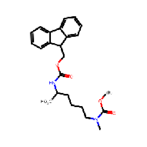 CN(CCCCC(NC(=O)OCC1c2ccccc2-c2ccccc21)C(=O)O)C(=O)OC(C)(C)C